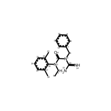 CCN(C(=O)N(Cc1ccccc1)C(=N)N)c1c(C)cccc1C